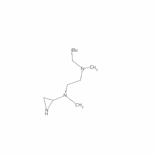 CCC(C)CN(C)CCN(C)C1CN1